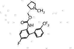 CN1CCC[C@H]1COC(=O)Nc1ccc(F)cc1-c1cccc(C(F)(F)F)c1